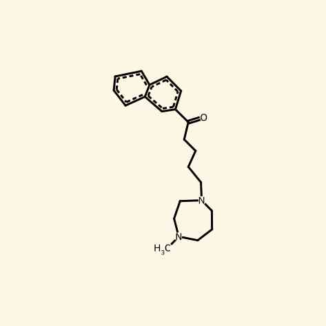 CN1CCCN(CCCCC(=O)c2ccc3ccccc3c2)CC1